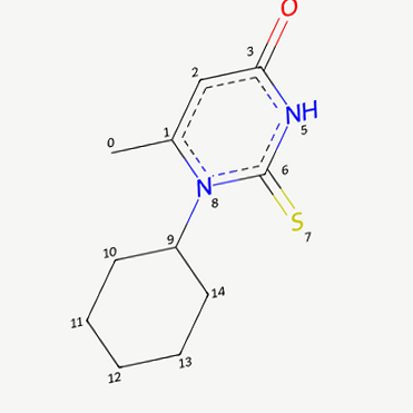 Cc1cc(=O)[nH]c(=S)n1C1CCCCC1